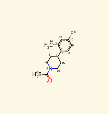 BC(=O)N1CCC(c2ccc(F)cc2C(F)(F)F)CC1